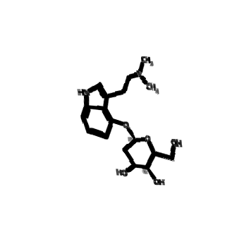 CN(C)CCc1c[nH]c2cccc(O[C@@H]3CC(O)[C@H](O)C(CO)O3)c12